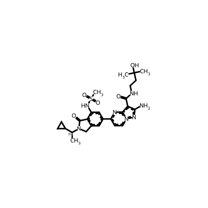 C[C@@H](C1CC1)N1Cc2cc(-c3ccn4nc(N)c(C(=O)NCCC(C)(C)O)c4n3)cc(NS(C)(=O)=O)c2C1=O